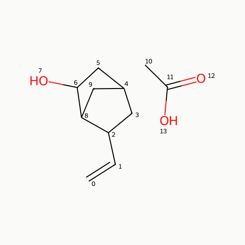 C=CC1CC2CC(O)C1C2.CC(=O)O